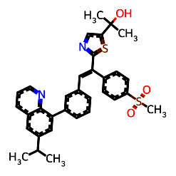 CC(C)c1cc(-c2cccc(/C=C(\c3ccc(S(C)(=O)=O)cc3)c3ncc(C(C)(C)O)s3)c2)c2ncccc2c1